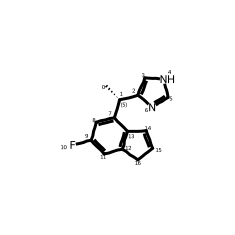 C[C@H](c1c[nH]cn1)c1cc(F)cc2c1C=CC2